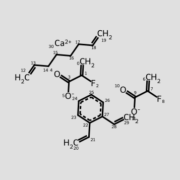 C=C(F)C(=O)[O-].C=C(F)C(=O)[O-].C=CCCCCC=C.C=Cc1ccccc1C=C.[Ca+2]